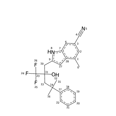 Cc1cc(C#N)cc2[nH]c(CC(O)(CC(C)(C)c3ccccc3)C(F)(F)F)cc12